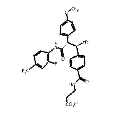 CCC[C@@H](c1ccc(C(=O)NCCC(=O)O)cc1)[C@H](C(=O)Nc1ccc(C(F)(F)F)cc1F)c1ccc(OC(F)(F)F)cc1